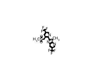 Cn1c(-c2ncc(C(F)(F)F)cc2CS(C)(=O)=O)nc2cc(C(F)(F)F)cnc21